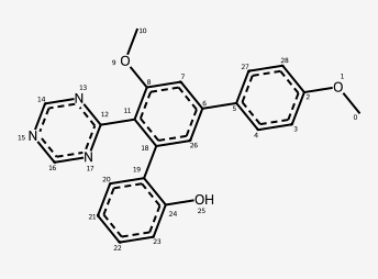 COc1ccc(-c2cc(OC)c(-c3ncncn3)c(-c3ccccc3O)c2)cc1